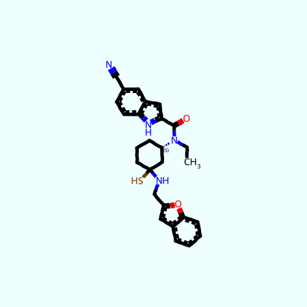 CCN(C(=O)c1cc2cc(C#N)ccc2[nH]1)[C@H]1CCCC(S)(NCc2cc3ccccc3o2)C1